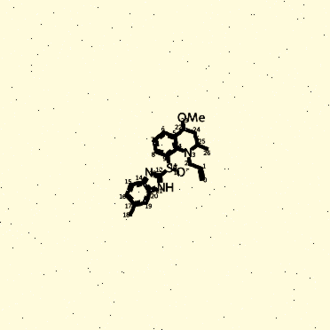 C=CCN1c2c(cccc2[S+]([O-])c2nc3ccc(C)cc3[nH]2)C(OC)CC1C